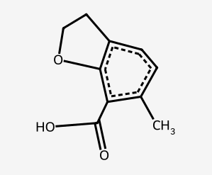 Cc1ccc2c(c1C(=O)O)OCC2